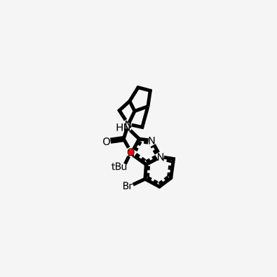 CC(C)(C)OC(=O)N1CC2CCC(C1)C2Nc1nc2c(Br)cccn2n1